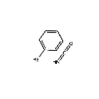 N=C=O.Sc1ccccc1